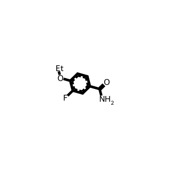 CCOc1ccc(C(N)=O)cc1F